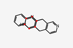 C1=NC2=C(CN1)C1c3ccncc3C2c2cc3ccccc3cc21